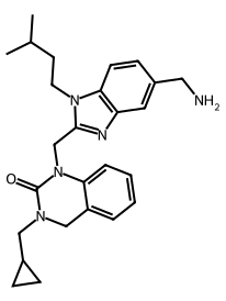 CC(C)CCn1c(CN2C(=O)N(CC3CC3)Cc3ccccc32)nc2cc(CN)ccc21